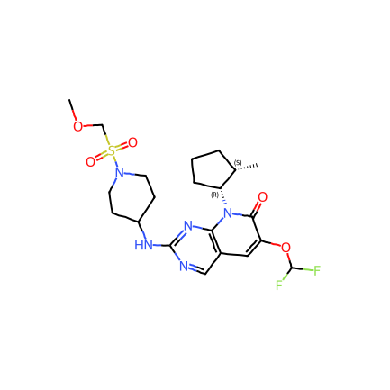 COCS(=O)(=O)N1CCC(Nc2ncc3cc(OC(F)F)c(=O)n([C@@H]4CCC[C@@H]4C)c3n2)CC1